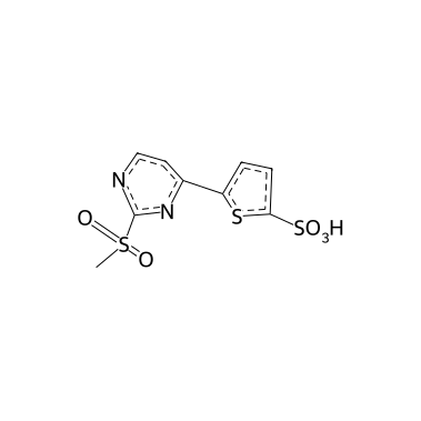 CS(=O)(=O)c1nccc(-c2ccc(S(=O)(=O)O)s2)n1